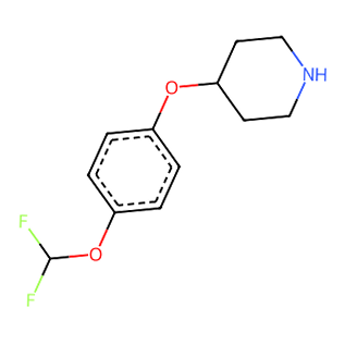 FC(F)Oc1ccc(OC2CCNCC2)cc1